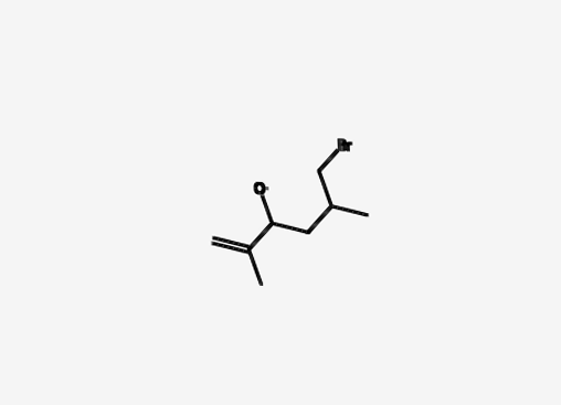 C=C(C)C([O])CC(C)CBr